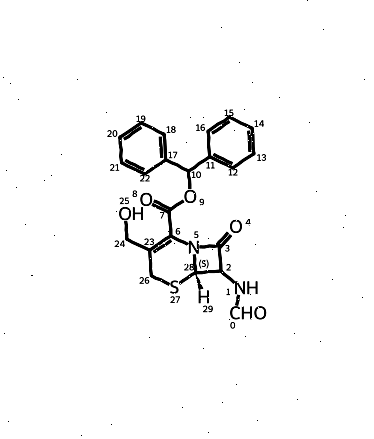 O=CNC1C(=O)N2C(C(=O)OC(c3ccccc3)c3ccccc3)=C(CO)CS[C@@H]12